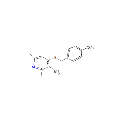 COc1ccc(CSc2cc(C)nc(C)c2[N+](=O)[O-])cc1